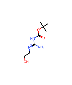 CC(C)(C)OC(=O)N/C(N)=N/CCO